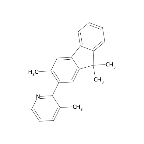 Cc1cc2c(cc1-c1ncccc1C)C(C)(C)c1ccccc1-2